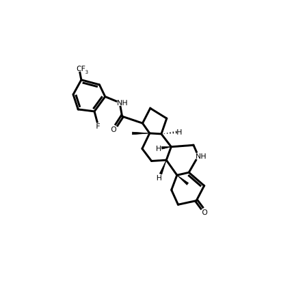 C[C@]12CCC(=O)C=C1NC[C@@H]1[C@H]2CC[C@]2(C)C(C(=O)Nc3cc(C(F)(F)F)ccc3F)CC[C@@H]12